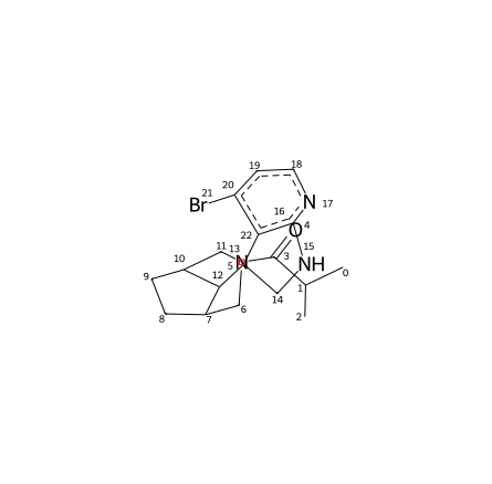 CC(C)C(=O)N1CC2CCC(C1)C2C1CNc2nccc(Br)c21